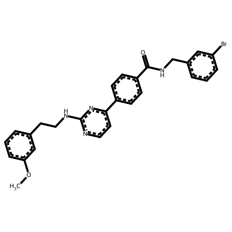 COc1cccc(CCNc2nccc(-c3ccc(C(=O)NCc4cccc(Br)c4)cc3)n2)c1